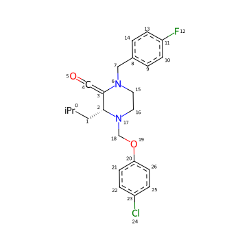 CC(C)C[C@@H]1C(=C=O)N(Cc2ccc(F)cc2)CCN1COc1ccc(Cl)cc1